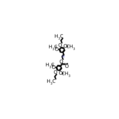 CCCCOc1c(OC)cc(/C=C/CO[C@H](c2cc(OC)c(OCCCC)c(OC)c2)[C@H]2CO2)cc1OC